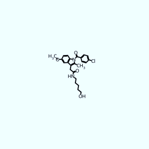 COc1ccc2c(c1)c(CC(=O)NCCCCCO)c(C)n2C(=O)c1ccc(Cl)cc1